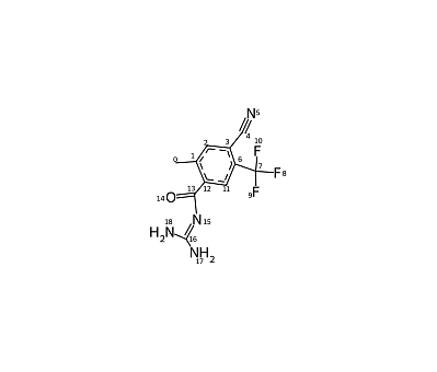 Cc1cc(C#N)c(C(F)(F)F)cc1C(=O)N=C(N)N